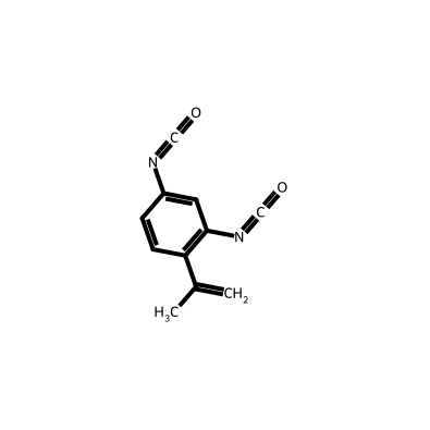 C=C(C)c1ccc(N=C=O)cc1N=C=O